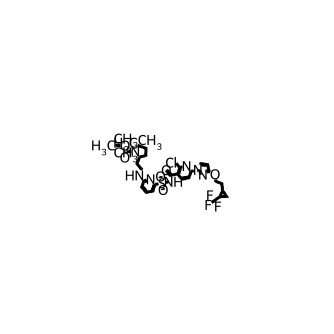 CC(C)(C)OC(=O)N1C(CCNc2cccc(S(=O)(=O)NC(=O)c3ccc(-n4ccc(OCCC5CC5C(F)(F)F)n4)nc3Cl)n2)CCC1(C)C